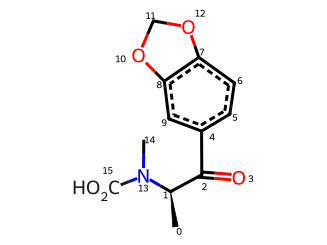 C[C@H](C(=O)c1ccc2c(c1)OCO2)N(C)C(=O)O